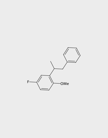 COc1ccc(F)cc1C(C)Cc1ccccc1